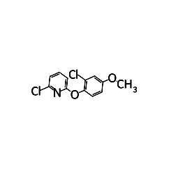 COc1ccc(Oc2cccc(Cl)n2)c(Cl)c1